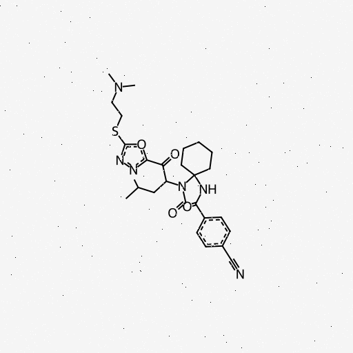 CC(C)CC(C(=O)c1nnc(SCCN(C)C)o1)N(C=O)C1(NC(=O)c2ccc(C#N)cc2)CCCCC1